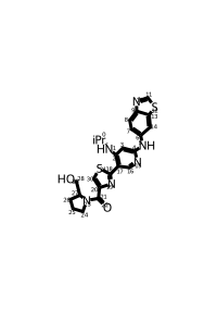 CC(C)Nc1cc(Nc2ccc3ncsc3c2)ncc1-c1nc(C(=O)N2CCCC2CO)cs1